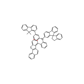 CC1(C)c2ccccc2-c2cccc(-c3cccc(N(c4ccc5c(c4)C4(CCc6ccccc64)c4ccccc4-5)c4ccccc4-c4cccc5sc6c7ccccc7ccc6c45)c3)c21